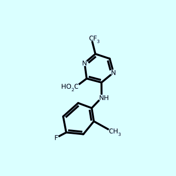 Cc1cc(F)ccc1Nc1ncc(C(F)(F)F)nc1C(=O)O